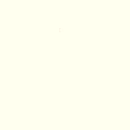 C[CH]c1c(-c2ccccc2-c2ccccc2)ccc2ccccc12